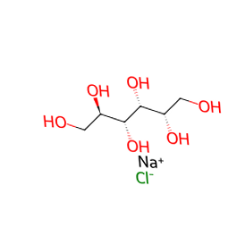 OC[C@@H](O)[C@@H](O)[C@H](O)[C@@H](O)CO.[Cl-].[Na+]